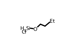 CCCCO[SiH2]Cl